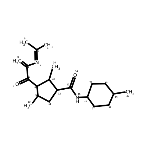 C=C(N=C(C)C)C(=O)C1C(C)CC(C(=O)NC2CCC(C)CC2)C1C